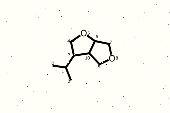 CC(C)C1COC2COCC21